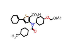 COCO[C@H]1CC[C@H](N(c2cc(C3=CCCCC3)sc2C(=O)O)C(=O)[C@H]2CC[C@H](C)CC2)CC1